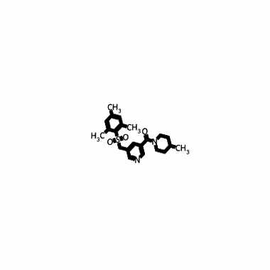 Cc1cc(C)c(S(=O)(=O)Cc2cncc(C(=O)N3CCC(C)CC3)c2)c(C)c1